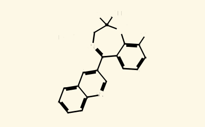 CC1(C)CN=C(c2cnc3ccccc3c2)c2cccc(Cl)c2O1.Cl